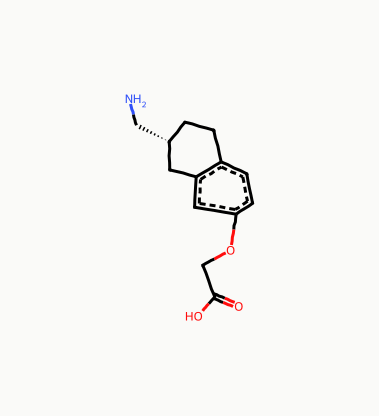 NC[C@@H]1CCc2ccc(OCC(=O)O)cc2C1